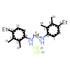 CCc1ccc([NH][Hf][NH]c2ccc(CC)c(C)c2C)c(C)c1C.F.F